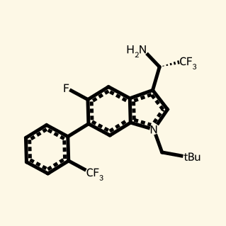 CC(C)(C)Cn1cc([C@H](N)C(F)(F)F)c2cc(F)c(-c3ccccc3C(F)(F)F)cc21